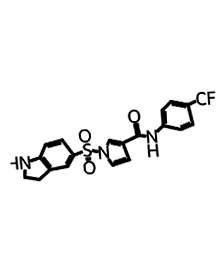 O=C(Nc1ccc(C(F)(F)F)cc1)c1ccn(S(=O)(=O)c2ccc3c(c2)CCN3)c1